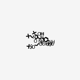 CC(C)(C)CCN1C(=O)C(C2=N[PH](O)(OCCCO[Si](C)(C)C(C)(C)C)c3cc(NS(C)(=O)=O)ccc3N2)=C(O)[C@@H]1C(C)(C)C